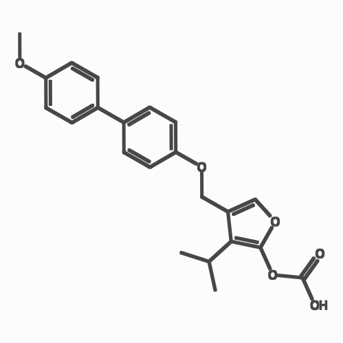 COc1ccc(-c2ccc(OCc3coc(OC(=O)O)c3C(C)C)cc2)cc1